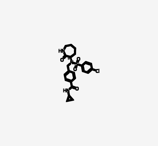 O=C(NC1CC1)c1ccc(CN([C@@H]2CCCCNC2=O)S(=O)(=O)c2ccc(Cl)cc2)cc1